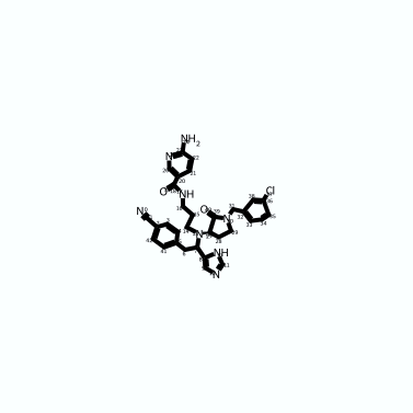 N#Cc1ccc(CC(c2cnc[nH]2)N(CCCNC(=O)c2ccc(N)nc2)[C@@H]2CCN(Cc3cccc(Cl)c3)C2=O)cc1